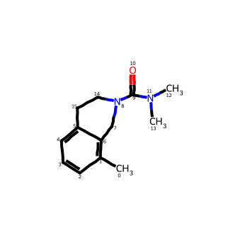 Cc1cccc2c1CN(C(=O)N(C)C)CC2